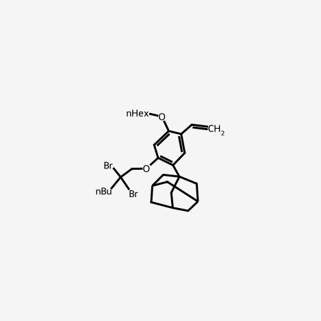 C=Cc1cc(C23CC4CC(CC(C4)C2)C3)c(OCC(Br)(Br)CCCC)cc1OCCCCCC